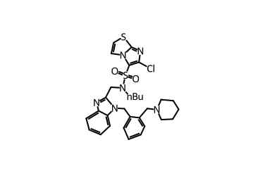 CCCCN(Cc1nc2ccccc2n1Cc1ccccc1CN1CCCCC1)S(=O)(=O)c1c(Cl)nc2sccn12